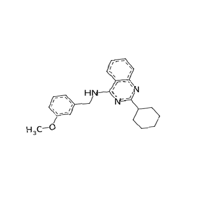 COc1cccc(CNc2nc(C3CCCCC3)nc3ccccc23)c1